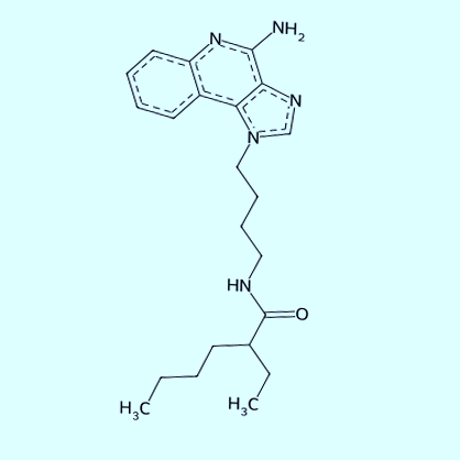 CCCCC(CC)C(=O)NCCCCn1cnc2c(N)nc3ccccc3c21